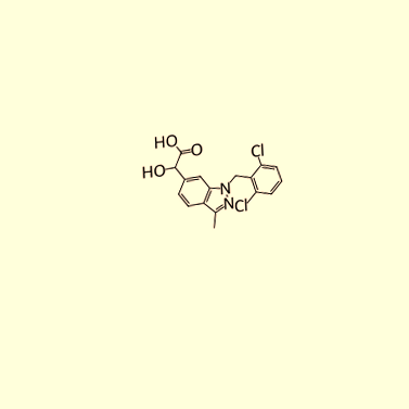 Cc1nn(Cc2c(Cl)cccc2Cl)c2cc(C(O)C(=O)O)ccc12